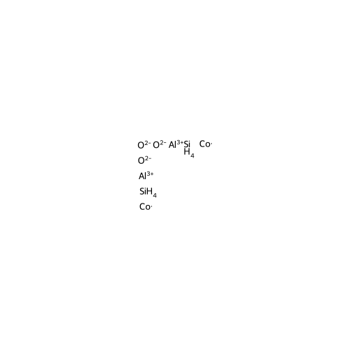 [Al+3].[Al+3].[Co].[Co].[O-2].[O-2].[O-2].[SiH4].[SiH4]